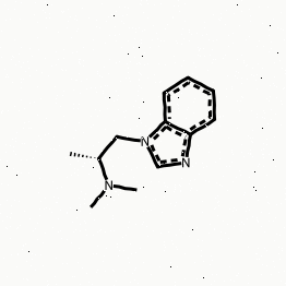 C[C@H](Cn1cnc2ccccc21)N(C)C